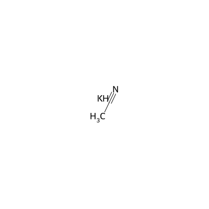 CC#N.[KH]